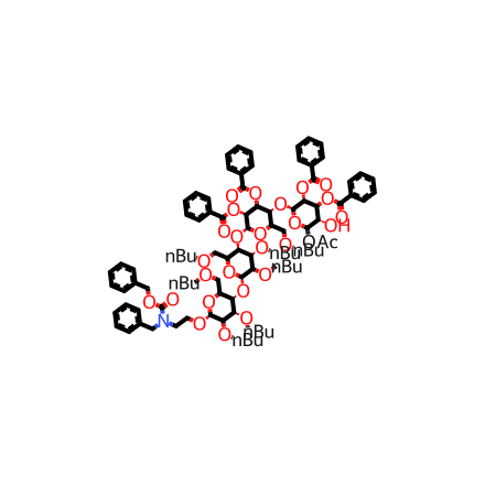 CCCCOCC1O[C@@H](O[C@@H]2C(COCCCC)O[C@H](O[C@H]3C(COCCCC)O[C@H](OCCN(Cc4ccccc4)C(=O)OCc4ccccc4)C(OCCCC)[C@H]3OCCCC)C(OCCCC)[C@H]2OCCCC)[C@@H](OC(=O)c2ccccc2)C(OC(=O)c2ccccc2)[C@@H]1O[C@@H]1OC(OC(C)=O)[C@@H](O)C(OC(=O)c2ccccc2)[C@@H]1OC(=O)c1ccccc1